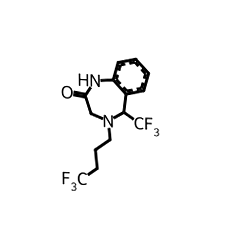 O=C1CN(CCCC(F)(F)F)C(C(F)(F)F)c2ccccc2N1